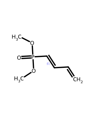 C=C/C=C/P(=O)(OC)OC